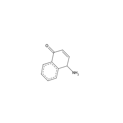 NC1C=CC(=O)c2ccccc21